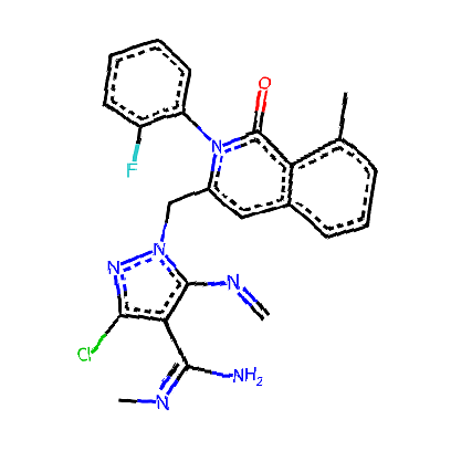 C=Nc1c(/C(N)=N\C)c(Cl)nn1Cc1cc2cccc(C)c2c(=O)n1-c1ccccc1F